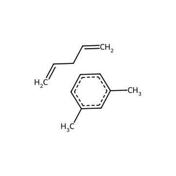 C=CCC=C.Cc1cccc(C)c1